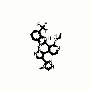 CCNc1nccc(-c2c(-c3nncn3C)cnn2C)c1-c1nc2cccc(C(F)(F)F)c2[nH]1